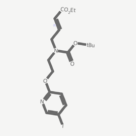 CCOC(=O)/C=C/CN(CCOc1ccc(I)cn1)C(=O)OC(C)(C)C